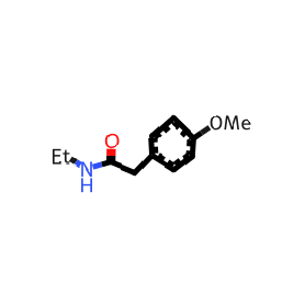 CCNC(=O)Cc1ccc(OC)cc1